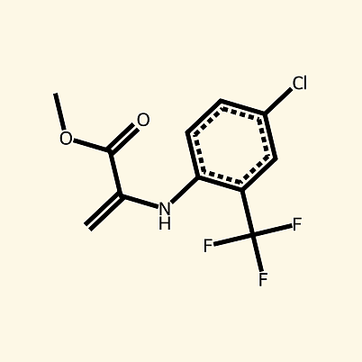 C=C(Nc1ccc(Cl)cc1C(F)(F)F)C(=O)OC